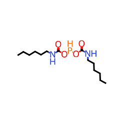 CCCCCCNC(=O)OPOC(=O)NCCCCCC